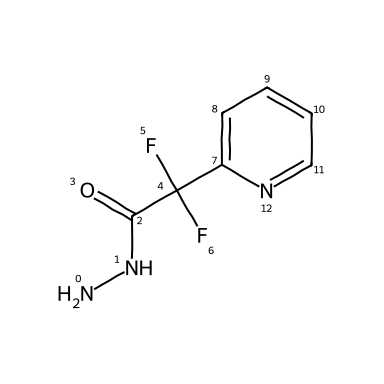 NNC(=O)C(F)(F)c1ccccn1